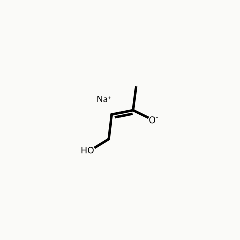 CC([O-])=CCO.[Na+]